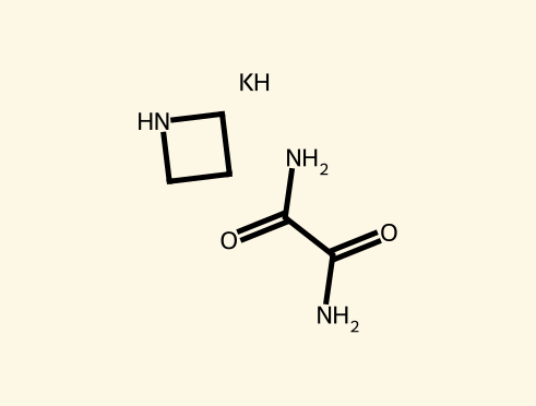 C1CNC1.NC(=O)C(N)=O.[KH]